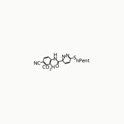 CCCCCSc1ccc(C(=O)Nc2ccc(C#N)cc2C(=O)O)nn1